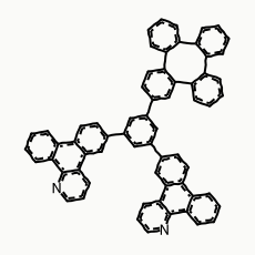 c1ccc2c(c1)-c1ccccc1-c1ccc(-c3cc(-c4ccc5c6ccccc6c6ncccc6c5c4)cc(-c4ccc5c6ccccc6c6ncccc6c5c4)c3)cc1-c1ccccc1-2